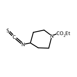 CCOC(=O)N1CCC(N=C=S)CC1